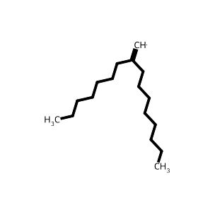 [CH]=C(CCCCCCC)CCCCCCCC